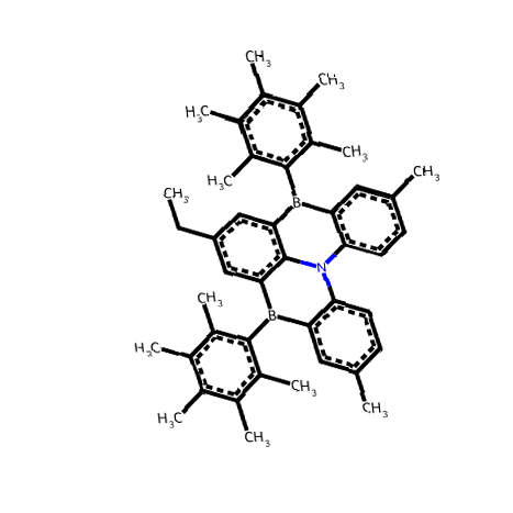 CCc1cc2c3c(c1)B(c1c(C)c(C)c(C)c(C)c1C)c1cc(C)ccc1N3c1ccc(C)cc1B2c1c(C)c(C)c(C)c(C)c1C